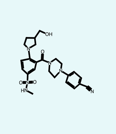 CNS(=O)(=O)c1ccc(N2CCC(CO)C2)c(C(=O)N2CCN(c3ccc(C#N)cc3)CC2)c1